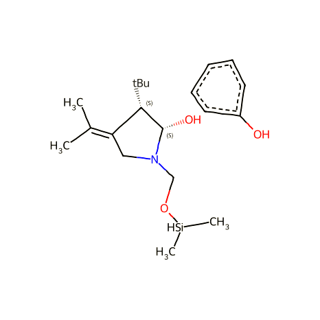 CC(C)=C1CN(CO[SiH](C)C)[C@@H](O)[C@H]1C(C)(C)C.Oc1ccccc1